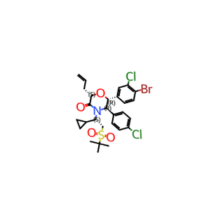 C=CC[C@@H]1O[C@H](c2ccc(Br)c(Cl)c2)[C@@H](c2ccc(Cl)cc2)N([C@H](CS(=O)(=O)C(C)(C)C)C2CC2)C1=O